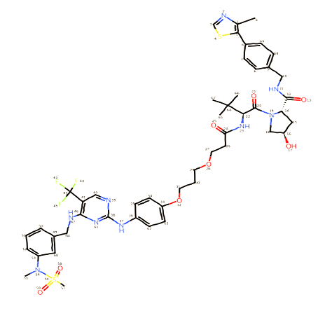 Cc1ncsc1-c1ccc(CNC(=O)[C@@H]2C[C@@H](O)CN2C(=O)[C@@H](NC(=O)CCOCCCOc2ccc(Nc3ncc(C(F)(F)F)c(NCc4cccc(N(C)S(C)(=O)=O)c4)n3)cc2)C(C)(C)C)cc1